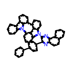 c1ccc(-c2ccc(-c3nc4ccc5ccccc5c4nc3-n3c4cccc5c6cccc7c8ccccc8n(c8cccc3c8c54)c67)cc2)cc1